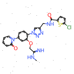 CNC(=N)COc1cc(-n2ccccc2=O)ccc1-n1cc(CNC(=O)c2ccc(Cl)s2)nn1